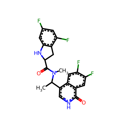 CC(c1c[nH]c(=O)c2cc(F)c(F)cc12)N(C)C(=O)C1Cc2c(F)cc(F)cc2N1